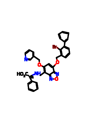 O=C(O)[C@H](NCc1c(OCc2cccnc2)cc(OCc2cccc(-c3ccccc3)c2Br)c2nonc12)c1ccccc1